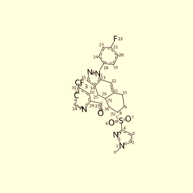 Cn1ccc(S(=O)(=O)[C@H]2CCC3=Cc4c(cnn4-c4ccc(F)cc4)C[C@]3(C(=O)c3cc(C(F)(F)F)ccn3)C2)n1